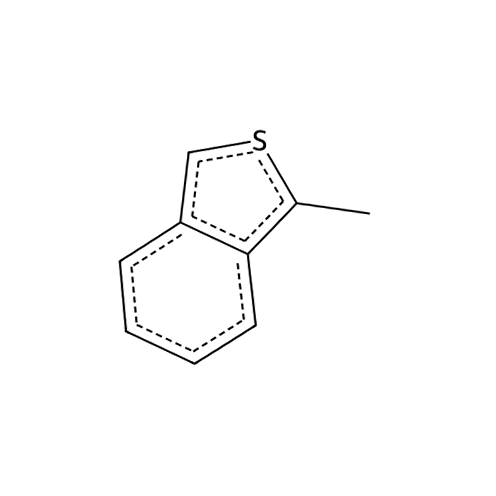 Cc1scc2ccccc12